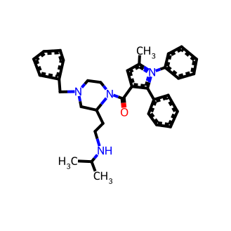 Cc1cc(C(=O)N2CCN(Cc3ccccc3)CC2CCNC(C)C)c(-c2ccccc2)n1-c1ccccc1